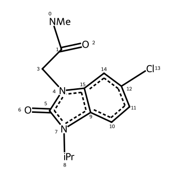 CNC(=O)Cn1c(=O)n(C(C)C)c2ccc(Cl)cc21